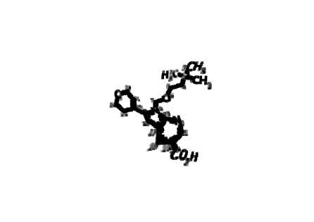 C[Si](C)(C)CCOCn1c(C2=CCOCC2)cc2cc(C(=O)O)cnc21